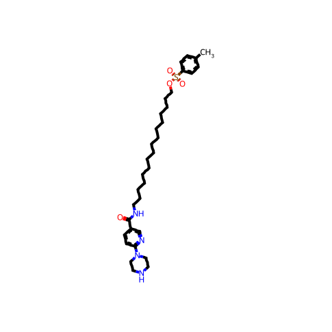 Cc1ccc(S(=O)(=O)OCCCCCCCCCCCCCCCCNC(=O)c2ccc(N3CCNCC3)nc2)cc1